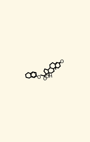 CC12CCC(=O)C=C1CCC1C2CCC2(C)C1CC[C@]2(O)C(=O)COc1ccc2c(c1)CCCC2